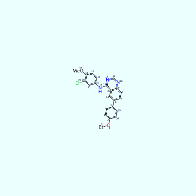 CCOc1ccc(-c2ccc3ncnc(Nc4ccc(OC)c(Cl)c4)c3c2)cc1